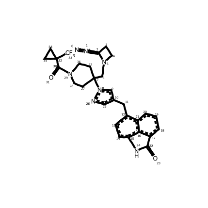 [N-]=[N+]=C1CCN1CC1(n2cc(Cc3ccc4c5c(cccc35)C(=O)N4)cn2)CCN(C(=O)C2(C(F)(F)F)CC2)CC1